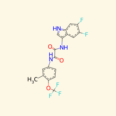 Cc1cc(NC(=O)C(=O)Nc2c[nH]c3cc(F)c(F)cc23)ccc1OC(F)(F)F